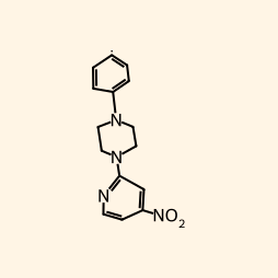 O=[N+]([O-])c1ccnc(N2CCN(c3cc[c]cc3)CC2)c1